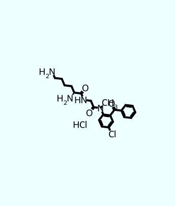 CN(C(=O)CNC(=O)[C@@H](N)CCCCN)c1ccc(Cl)cc1C(=O)c1ccccc1.Cl